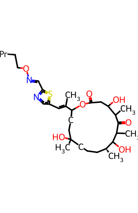 C/C(=C\c1cnc(/C=N/OCCC(C)C)s1)C1CCC(C)(O)CCC[C@H](C)C(O)C(C)C(=O)C(C)C(O)CC(=O)O1